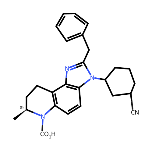 C[C@H]1CCc2c(ccc3c2nc(Cc2ccccc2)n3C2CCCC(C#N)C2)N1C(=O)O